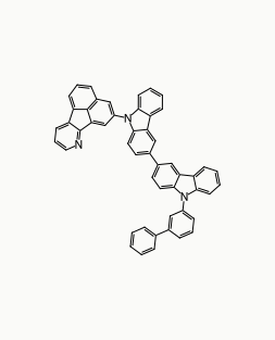 c1ccc(-c2cccc(-n3c4ccccc4c4cc(-c5ccc6c(c5)c5ccccc5n6-c5cc6c7c(cccc7c5)-c5cccnc5-6)ccc43)c2)cc1